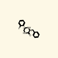 O=C1NC[C@H](c2ccccc2F)N[C@H]1Cc1ccccc1